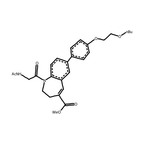 CCCCOCCOc1ccc(-c2ccc3c(c2)C=C(C(=O)OC)CCN3C(=O)CNC(C)=O)cc1